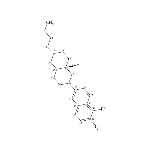 CCCC[C@@H]1CC[C@@H]2CC(c3ccc4c(F)c(Cl)ccc4c3)CCC2C1